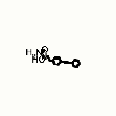 NC(=O)N(O)CCc1ccc(C#Cc2ccccc2)cc1